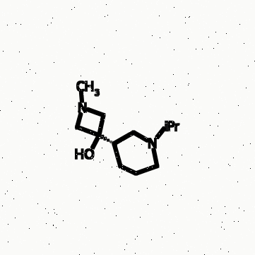 CC(C)N1CCC[C@H](C2(O)CN(C)C2)C1